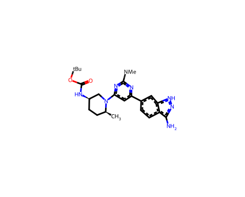 CNc1nc(-c2ccc3c(N)n[nH]c3c2)cc(N2C[C@H](NC(=O)OC(C)(C)C)CC[C@@H]2C)n1